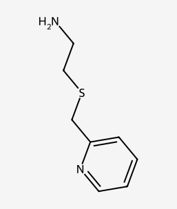 NCCSCc1ccccn1